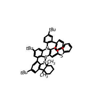 CC(C)(C)c1ccc(N2c3cc4c(cc3B3c5c(cc(C(C)(C)C)cc52)-c2cc(C(C)(C)C)cc5c2N3C2(C)CCCCC52C)sc2ccccc24)c(-c2ccccc2)c1